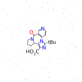 CC(C)(C)c1nc(C(=O)O)c2n1-c1ccncc1C(=O)N1CCCC21